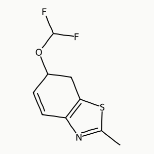 Cc1nc2c(s1)CC(OC(F)F)C=C2